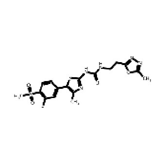 Cc1nnc(CCNC(=O)Nc2nc(C)c(-c3ccc(S(C)(=O)=O)c(F)c3)s2)o1